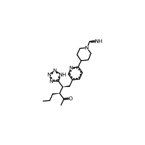 CCC[C@H](C(C)=O)[C@H](Cc1ccc(C2CCN(C=N)CC2)nc1)c1nnn[nH]1